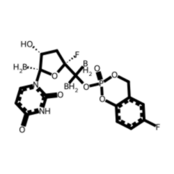 BC(B)(OP1(=O)OCc2cc(F)ccc2O1)[C@]1(F)C[C@@H](O)[C@](B)(n2ccc(=O)[nH]c2=O)O1